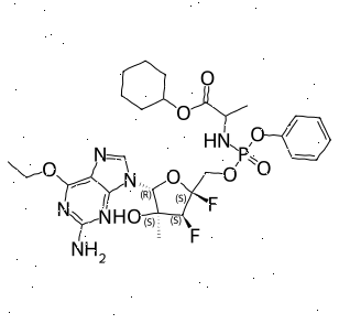 CCOc1nc(N)nc2c1ncn2[C@@H]1O[C@](F)(COP(=O)(NC(C)C(=O)OC2CCCCC2)Oc2ccccc2)[C@@H](F)[C@@]1(C)O